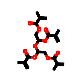 C=C(C)C(=O)OCC(OC(=O)C(=C)C)OC(COC(=O)C(=C)C)OC(=O)C(=C)C